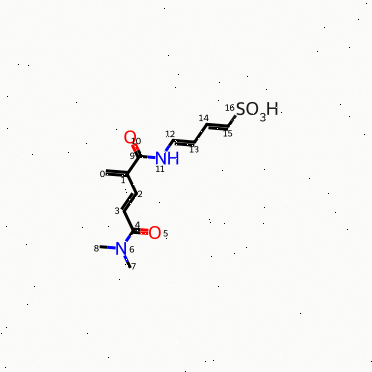 C=C(C=CC(=O)N(C)C)C(=O)NC=CC=CS(=O)(=O)O